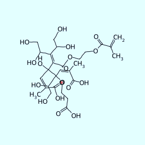 C=C(C)C(=O)OCCOC(=O)C(=C(C(O)CO)C(O)CO)C(O)(C=C(C)C(=O)O)C(C=C(C)C(=O)O)(OCCC(=O)O)C(O)CO